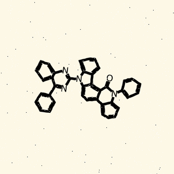 O=c1c2c(ccc3c2c2ccccc2n3-c2nc(-c3ccccc3)c3ccccc3n2)c2ccccc2n1-c1ccccc1